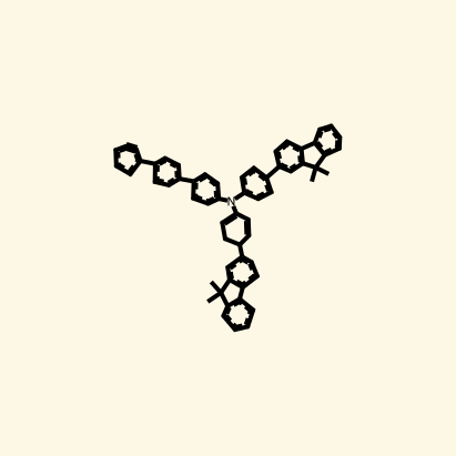 CC1(C)c2ccccc2-c2ccc(-c3ccc(N(C4=CCC(c5ccc6c(c5)C(C)(C)c5ccccc5-6)C=C4)c4ccc(-c5ccc(-c6c#cccc6)cc5)cc4)cc3)cc21